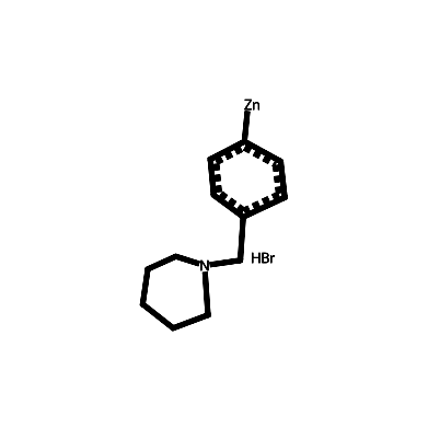 Br.[Zn][c]1ccc(CN2CCCCC2)cc1